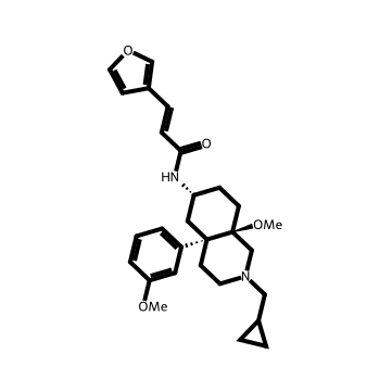 COc1cccc([C@@]23CCN(CC4CC4)C[C@@]2(OC)CC[C@@H](NC(=O)/C=C/c2ccoc2)C3)c1